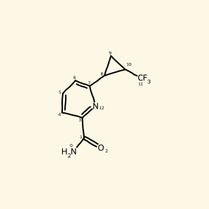 NC(=O)c1cccc(C2CC2C(F)(F)F)n1